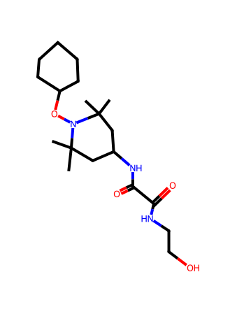 CC1(C)CC(NC(=O)C(=O)NCCO)CC(C)(C)N1OC1CCCCC1